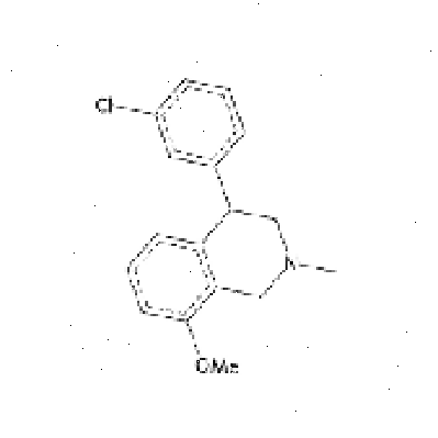 COc1cccc2c1CN(C)CC2c1cccc(Cl)c1